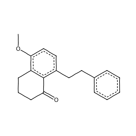 COc1ccc(CCc2ccccc2)c2c1CCCC2=O